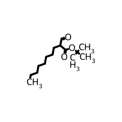 CCCCCCCCC(C=O)C(=O)OC(C)(C)C